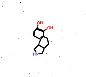 Oc1ccc2c(c1O)CCC1CNCC21